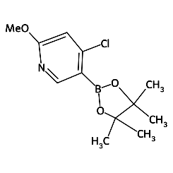 COc1cc(Cl)c(B2OC(C)(C)C(C)(C)O2)cn1